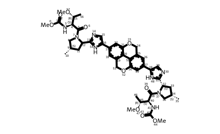 COC(=O)N[C@H](C(=O)N1C[C@@H](C)CC1c1ncc(-c2cc3c4c(c2)OCc2cc(-c5cnc([C@@H]6C[C@H](C)CN6C(=O)[C@@H](NC(=O)OC)[C@@H](C)OC)[nH]5)cc(c2-4)OC3)[nH]1)[C@@H](C)OC